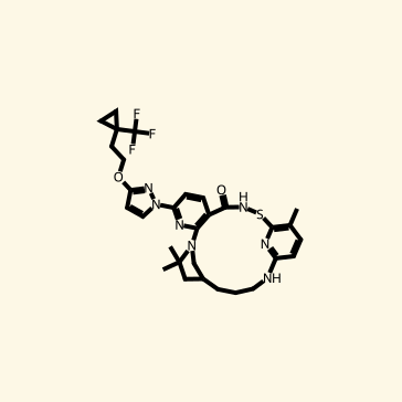 Cc1ccc2nc1SNC(=O)c1ccc(-n3ccc(OCCC4(C(F)(F)F)CC4)n3)nc1N1CC(CCCN2)CC1(C)C